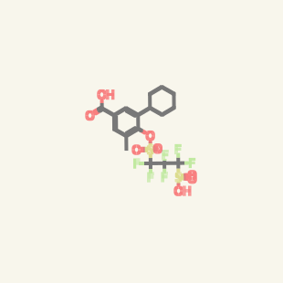 Cc1cc(C(=O)O)cc(C2CCCCC2)c1OS(=O)(=O)C(F)(F)C(F)(F)C(F)(F)S(=O)(=O)O